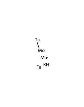 [Fe].[KH].[Mn].[Mo][Ta]